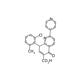 Cc1cccc(Cl)c1C1C=C(C(=O)O)C(=O)c2ccc(-c3ccncc3)nc21